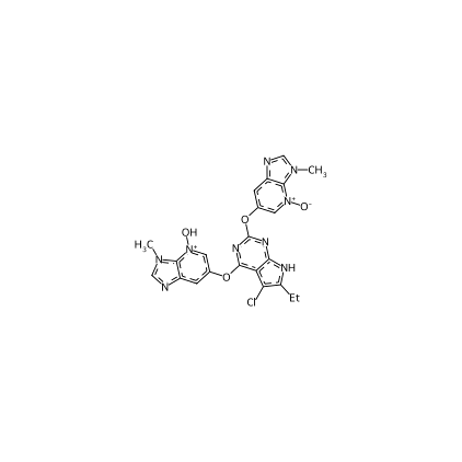 CCc1[nH]c2nc(Oc3cc4ncn(C)c4[n+]([O-])c3)nc(Oc3cc4ncn(C)c4[n+](O)c3)c2c1Cl